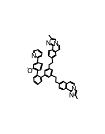 COc1cc(-c2ccccn2)ccc1-c1ccccc1-c1cc(CCc2ccc3c(ccn4cc(C)nc34)c2)cc(CCc2ccc3c(ccn4cc(C)nc34)c2)c1